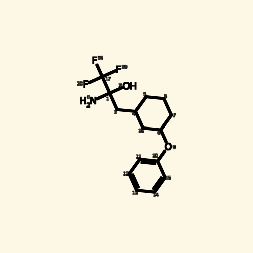 NC(O)(CC1CCCC(Oc2ccccc2)C1)C(F)(F)F